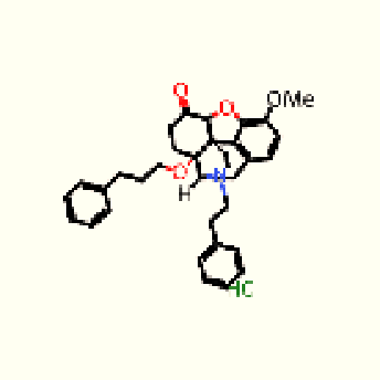 COc1ccc2c3c1OC1C(=O)CC[C@@]4(OCCCc5ccccc5)[C@@H](C2)N(CCc2ccccc2)CC[C@]314.Cl